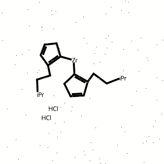 CC(C)CCC1=[C]([Zr][C]2=C(CCC(C)C)C=CC2)CC=C1.Cl.Cl